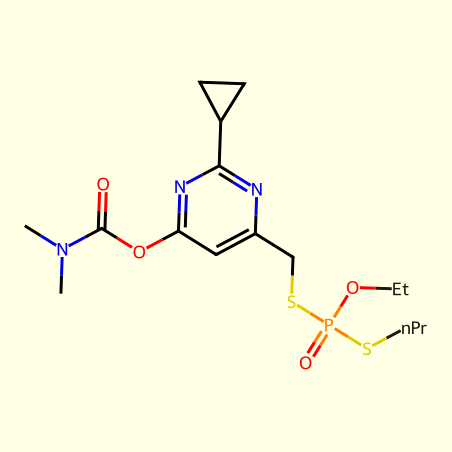 CCCSP(=O)(OCC)SCc1cc(OC(=O)N(C)C)nc(C2CC2)n1